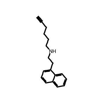 C#CCCCCNCCc1cccc2ccccc12